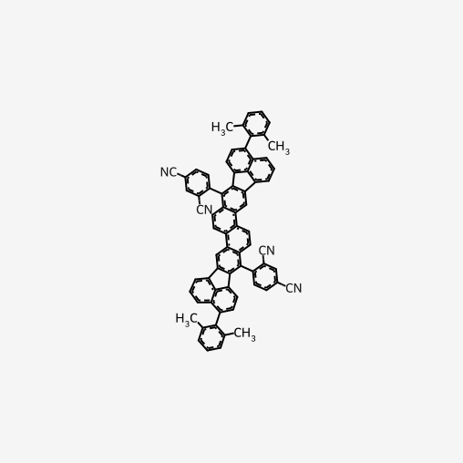 Cc1cccc(C)c1-c1ccc2c3c(cccc13)-c1cc3c(ccc4c5cc6c(c(-c7ccc(C#N)cc7C#N)c5ccc34)-c3ccc(-c4c(C)cccc4C)c4cccc-6c34)c(-c3ccc(C#N)cc3C#N)c1-2